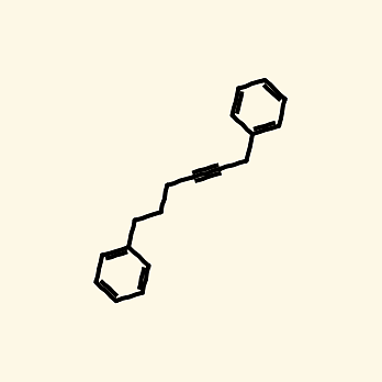 C(#CCc1ccccc1)CCCc1ccccc1